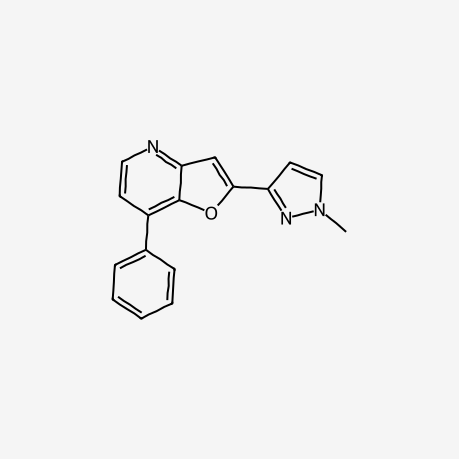 Cn1ccc(-c2cc3nccc(-c4ccccc4)c3o2)n1